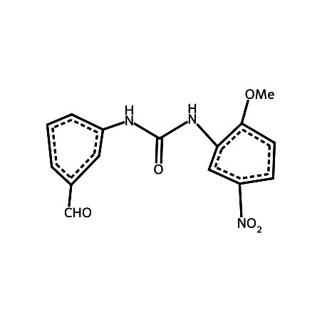 COc1ccc([N+](=O)[O-])cc1NC(=O)Nc1cccc(C=O)c1